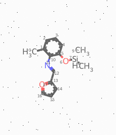 Cc1cccc(O[SiH](C)C)c1N=Cc1ccco1